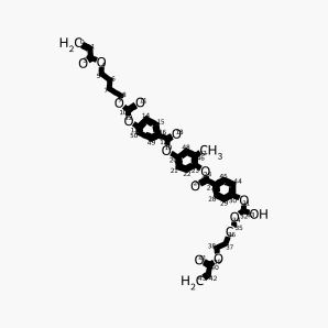 C=CC(=O)OCCCCOC(=O)Oc1ccc(C(=O)Oc2ccc(OC(=O)c3ccc(OC(O)OCCCCOC(=O)C=C)cc3)c(C)c2)cc1